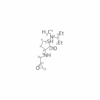 CCC(CC)N(C)[SH]1CCC(NCC2CO2)C1=O